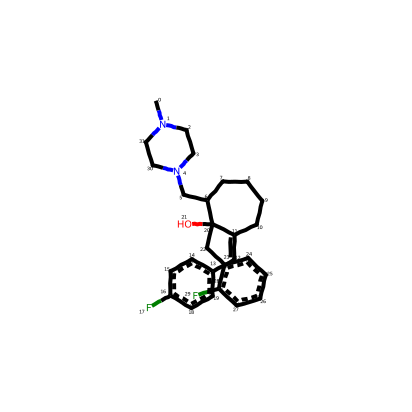 CN1CCN(CC2CCCCC(=Cc3ccc(F)cc3)C2(O)Cc2ccccc2F)CC1